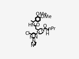 CCCNC(=O)N1CCN(c2cc(Cl)nc(-n3ccnc3)n2)C(CC(=O)NC(C)c2ccc(OC)c(OC)c2)C1